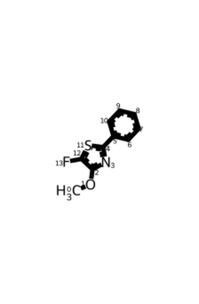 COc1nc(-c2ccccc2)sc1F